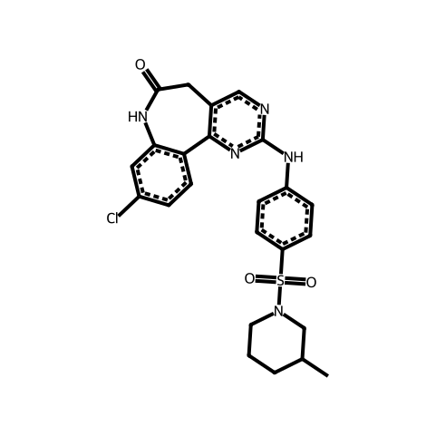 CC1CCCN(S(=O)(=O)c2ccc(Nc3ncc4c(n3)-c3ccc(Cl)cc3NC(=O)C4)cc2)C1